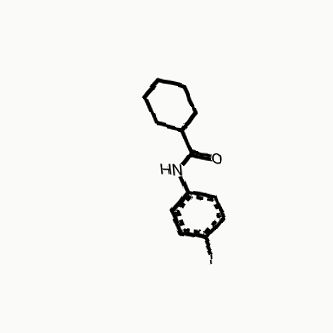 O=C(Nc1ccc(I)cc1)C1CCCCC1